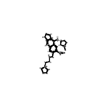 COc1cc2c(N[C@@H]3CCN(C)C3)c3c(nc2cc1COCCN1CCCC1)CCC3